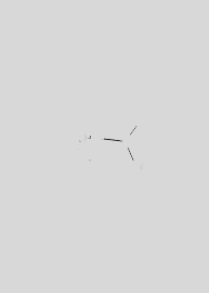 B.OB(O)O.[CaH2]